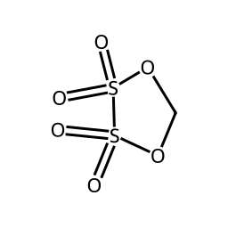 O=S1(=O)OCOS1(=O)=O